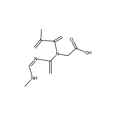 C=C(C)C(=C)N(CC(=O)O)C(=C)/N=C\NC